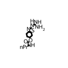 CCCNC(=O)OC1CCc2nc(NC(=N)N)sc2C1